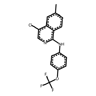 Cc1ccc2c(Nc3ccc(OC(F)(F)F)cc3)ncc(Cl)c2c1